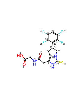 O=C(O)CNC(=O)Cc1[nH]c(=S)n2c1C[C@H](c1c(F)c(F)cc(F)c1F)C2